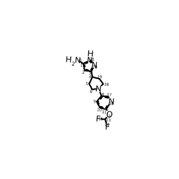 Nc1cc(C2CCN(c3ccc(OC(F)F)nc3)CC2)n[nH]1